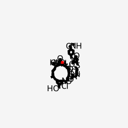 CNC(=O)C1CCC(CN2C(=O)CC(SCCC(=O)N(C)[C@@H](C)C(=O)O[C@H]3CC(=O)N(C)c4cc(cc(CO)c4Cl)C/C(C)=C/C=C/[C@@H](C=O)[C@@]4(O)C[C@H](OC(=O)N4)[C@@H](C)[C@@H]4O[C@@]34C)C2=O)CC1